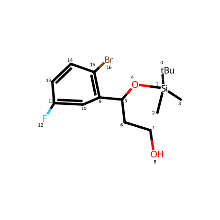 CC(C)(C)[Si](C)(C)OC(CCO)c1cc(F)ccc1Br